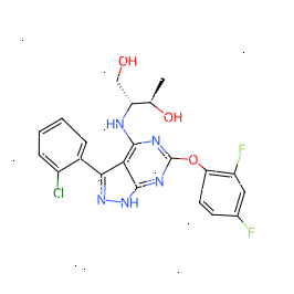 C[C@@H](O)[C@@H](CO)Nc1nc(Oc2ccc(F)cc2F)nc2[nH]nc(-c3ccccc3Cl)c12